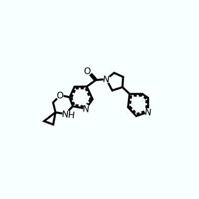 O=C(c1cnc2c(c1)OCC1(CC1)N2)N1CCC(c2ccncc2)C1